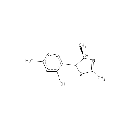 CC1=N[C@H](C)C(c2ccc(C)cc2C)S1